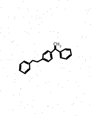 C=C(c1ccccc1)c1ccc(CCc2ccccc2)cc1